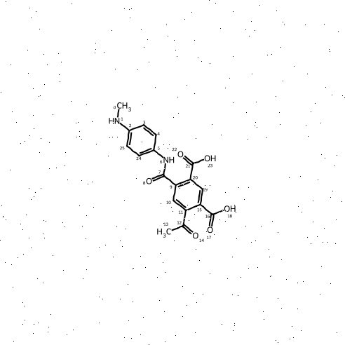 CNc1ccc(NC(=O)c2cc(C(C)=O)c(C(=O)O)cc2C(=O)O)cc1